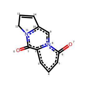 O=c1c2cccc(=O)n2cc2n1CC=C2